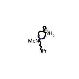 CCC1(N)\C=C/C=C([C@H](CCCCC(C)C)NC)\C=C\CCC1C1CCC1